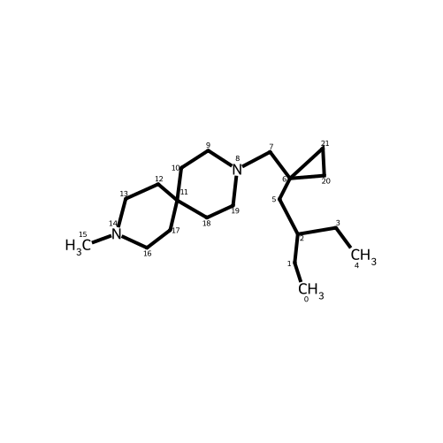 CCC(CC)CC1(CN2CCC3(CCN(C)CC3)CC2)CC1